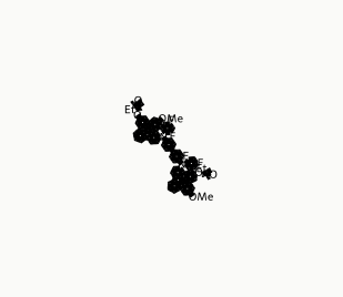 CCC1(COc2ccc(C3(c4ccc(OC)cc4)c4ccccc4-c4ccc(N(c5ccc(-c6ccc(N(c7ccc8c(c7)C(c7ccc(OC)cc7)(c7ccc(OCC9(CC)COC9)cc7)c7ccccc7-8)c7ccc(F)cc7F)cc6)cc5)c5ccc(F)cc5F)cc43)cc2)COC1